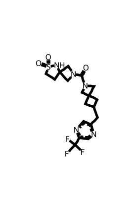 O=C(N1CC2(CC(Cc3cnc(C(F)(F)F)cn3)C2)C1)N1CC2(CCS(=O)(=O)N2)C1